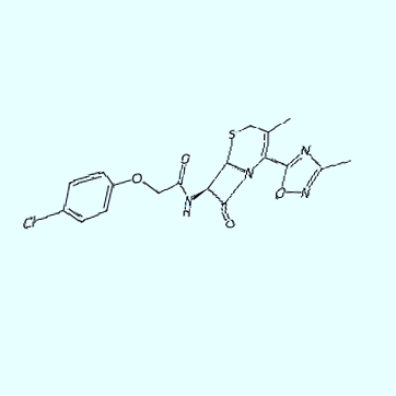 CC1=C(c2nc(C)no2)N2C(=O)[C@@H](NC(=O)COc3ccc(Cl)cc3)C2SC1